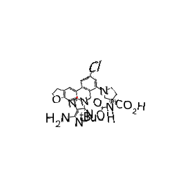 CC(C)(C)OC(=O)N[C@]1(C(=O)O)CCN(c2cc(Cl)cc(-c3ccc4c(c3)CCO4)c2Cn2cnc3c(N)ncnc32)C1